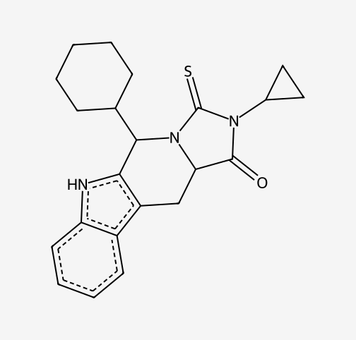 O=C1C2Cc3c([nH]c4ccccc34)C(C3CCCCC3)N2C(=S)N1C1CC1